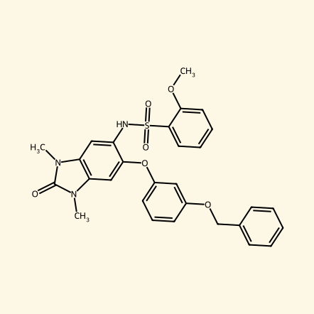 COc1ccccc1S(=O)(=O)Nc1cc2c(cc1Oc1cccc(OCc3ccccc3)c1)n(C)c(=O)n2C